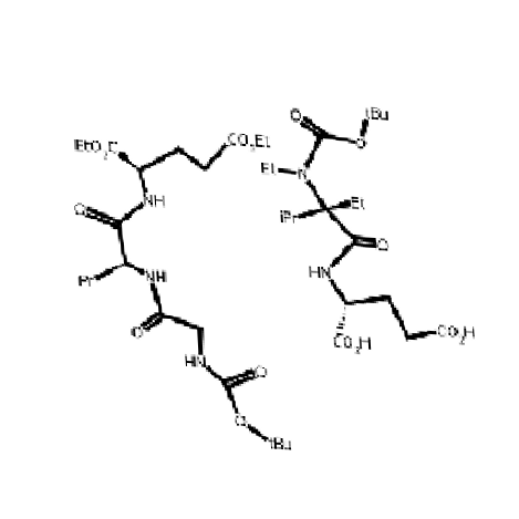 CCN(C(=O)OC(C)(C)C)[C@](CC)(C(=O)N[C@H](CCC(=O)O)C(=O)O)C(C)C.CCOC(=O)CC[C@@H](NC(=O)[C@@H](NC(=O)CNC(=O)OC(C)(C)C)C(C)C)C(=O)OCC